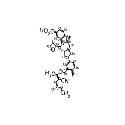 C=C/C(F)=C\C(C#N)=C(/C)OCc1cc([C@@H]2CCN(Cc3nc4ccc(C(=O)O)cc4n3C[C@@H]3CCO3)C2)ccc1F